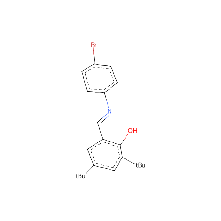 CC(C)(C)c1cc(/C=N/c2ccc(Br)cc2)c(O)c(C(C)(C)C)c1